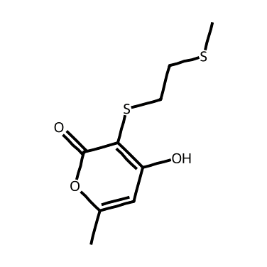 CSCCSc1c(O)cc(C)oc1=O